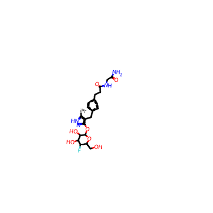 CC(C)c1[nH]nc(OC2OC(CO)C(F)C(O)C2O)c1Cc1ccc(CCC(=O)NCC(N)=O)cc1